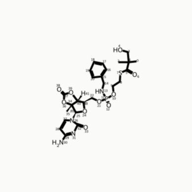 CC(C)(CO)C(=O)SCCOP(=O)(NCc1ccccc1)OC[C@H]1O[C@@H](n2ccc(N)nc2=O)[C@]2(C)OC(=O)O[C@H]12